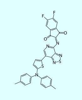 Cc1ccc(N(c2ccc(C)cc2)c2ccc(-c3cnc(N=c4c(=O)c5cc(F)c(F)cc5c4=O)c4nsnc34)s2)cc1